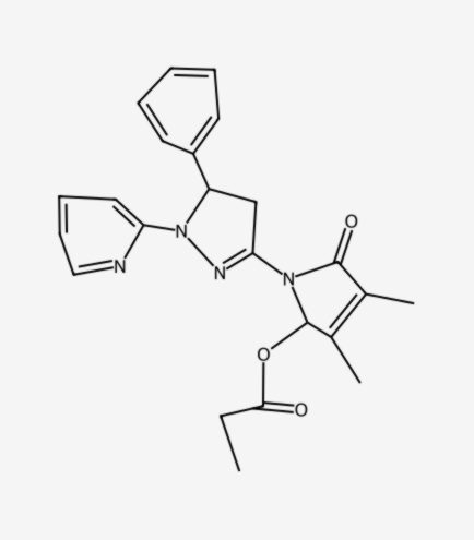 CCC(=O)OC1C(C)=C(C)C(=O)N1C1=NN(c2ccccn2)C(c2ccccc2)C1